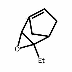 [CH2]CC12OC1C1=CCC2C1